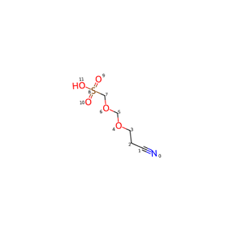 N#CCCOCOCS(=O)(=O)O